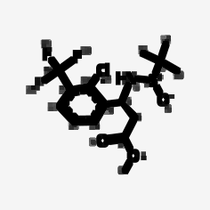 COC(=O)C[C@H](N[S+]([O-])C(C)(C)C)c1cccc(C(F)(F)F)c1Cl